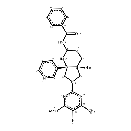 COc1nc(N2C[C@H]3CSC(NC(=O)c4ccccc4)N[C@@]3(c3cccnc3)C2)nc(C)c1F